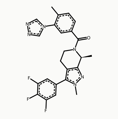 Cc1ccc(C(=O)N2CCc3c(nn(C)c3-c3cc(F)c(F)c(F)c3)[C@@H]2C)cc1-n1cnnc1